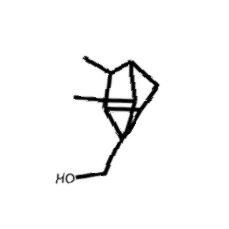 CC1C2CC3C1C3(CO)C2C